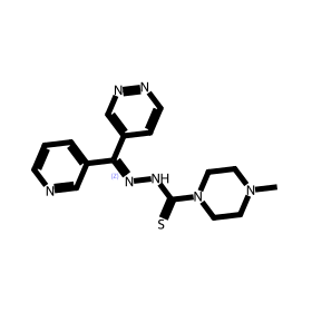 CN1CCN(C(=S)N/N=C(/c2cccnc2)c2ccnnc2)CC1